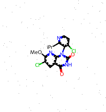 COc1nc2c(cc1Cl)c(=O)[nH]c(=O)n2-c1c(Cl)ccnc1C(C)C